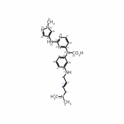 CN(C)C/C=C/CNc1cccc(N(C(=O)O)c2ccnc(Nc3cnn(C)c3)n2)c1